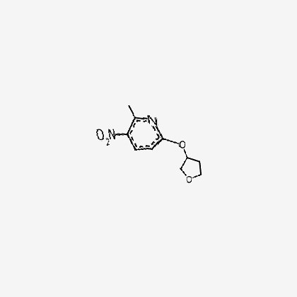 Cc1nc(OC2CCOC2)ccc1[N+](=O)[O-]